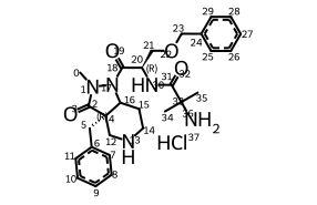 CN1C(=O)[C@]2(Cc3ccccc3)CNCCC2N1C(=O)[C@@H](COCc1ccccc1)NC(=O)C(C)(C)N.Cl